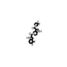 O=C(c1cc2c(F)c(F)ccc2[nH]1)N1CCc2[nH]nc(C(=O)N3CCC(F)(F)C3)c2C1